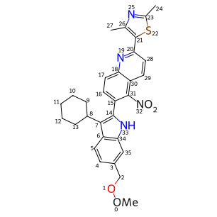 COOCc1ccc2c(C3CCCCC3)c(-c3ccc4nc(-c5sc(C)nc5C)ccc4c3[N+](=O)[O-])[nH]c2c1